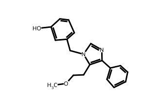 COCCc1c(-c2ccccc2)ncn1Cc1cccc(O)c1